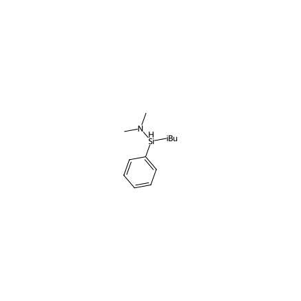 CCC(C)[SiH](c1ccccc1)N(C)C